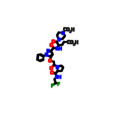 O=C(O)CCC(NC(=O)c1cc(OCC(=O)N2CCCC2C(=O)NCC(F)F)n(-c2ccccc2)n1)C(=O)N1CCN(C(=O)O)CC1